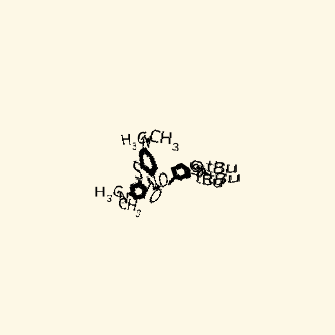 CN(C)c1ccc2c(c1)Sc1cc(N(C)C)ccc1N2C(=O)OCc1ccc(O[Si](C(C)(C)C)(C(C)(C)C)C(C)(C)C)cc1